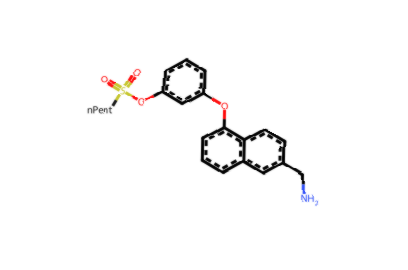 CCCCCS(=O)(=O)Oc1cccc(Oc2cccc3cc(CN)ccc23)c1